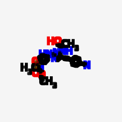 CCOC(=O)N=S(C)(=O)c1ccc(Nc2ncc(C#Cc3ccc(C#N)cc3)c(N[C@H](C)CO)n2)cc1